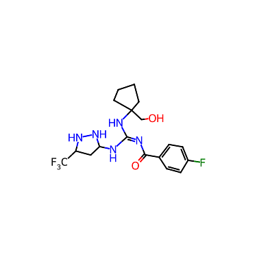 O=C(/N=C(\NC1CC(C(F)(F)F)NN1)NC1(CO)CCCC1)c1ccc(F)cc1